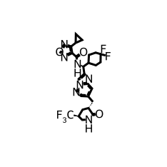 O=C(N[C@H](c1cn2ncc(C[C@H]3C[C@H](C(F)(F)F)CNC3=O)cc2n1)C1CCC(F)(F)CC1)c1nonc1C1CC1